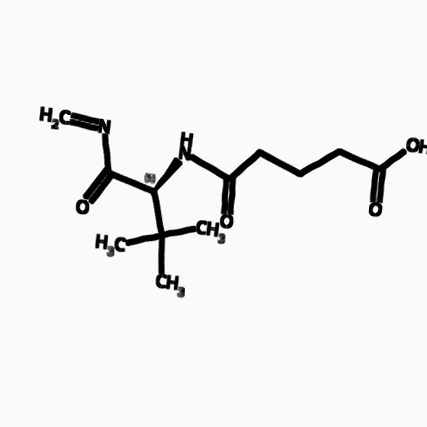 C=NC(=O)[C@@H](NC(=O)CCCC(=O)O)C(C)(C)C